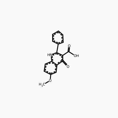 COc1ccc2[nH]c(-c3ccccc3)c(C(=O)O)c(=O)c2c1